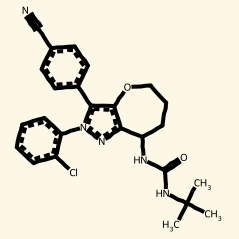 CC(C)(C)NC(=O)NC1CCCOc2c1nn(-c1ccccc1Cl)c2-c1ccc(C#N)cc1